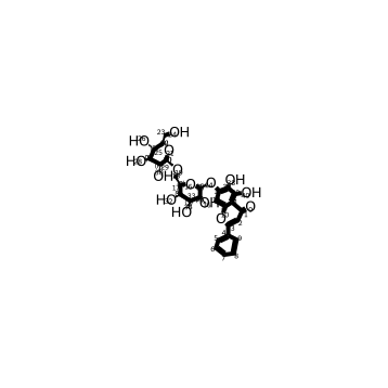 O=c1cc(-c2ccccc2)oc2cc(O[C@@H]3O[C@H](CO[C@@H]4O[C@H](CO)[C@@H](O)[C@H](O)[C@H]4O)[C@@H](O)[C@H](O)[C@H]3O)c(O)c(O)c12